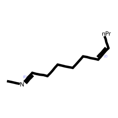 CCC/C=C\CCCC/C=N/C